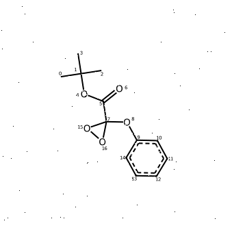 CC(C)(C)OC(=O)C1(Oc2ccccc2)OO1